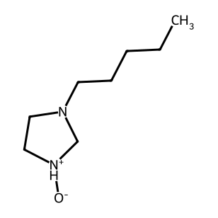 CCCCCN1CC[NH+]([O-])C1